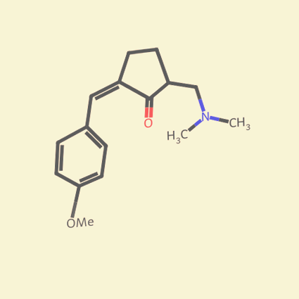 COc1ccc(C=C2CCC(CN(C)C)C2=O)cc1